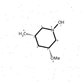 CO[C@@H]1C[C@H](C)CN(O)C1